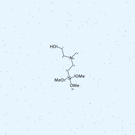 CO[Si](CCN(C)CCO)(OC)OC